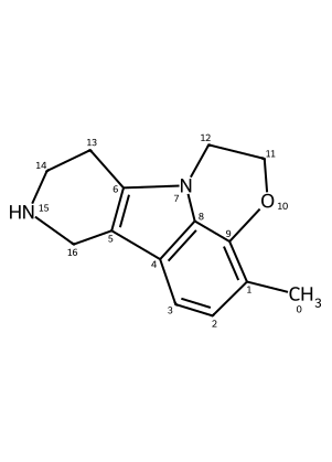 Cc1ccc2c3c(n4c2c1OCC4)CCNC3